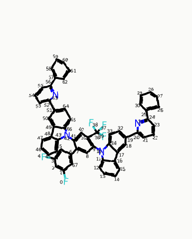 Fc1cc(F)cc(-c2cc(-n3c4ccccc4c4cc(-c5cccc(-c6ccccc6)n5)ccc43)c(C(F)(F)F)cc2-n2c3ccccc3c3cc(-c4cccc(-c5ccccc5)n4)ccc32)c1